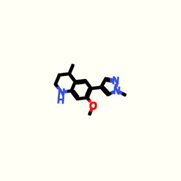 COc1cc2c(cc1-c1cnn(C)c1)C(C)CCN2